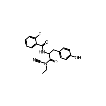 CCN(C#N)C(=O)C(Cc1ccc(O)cc1)NC(=O)c1ccccc1F